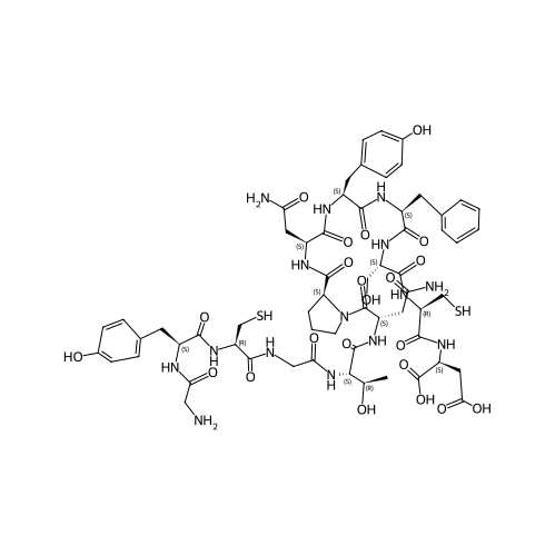 C[C@@H](O)[C@H](NC(=O)CNC(=O)[C@H](CS)NC(=O)[C@H](Cc1ccc(O)cc1)NC(=O)CN)C(=O)N[C@@H](CC(N)=O)C(=O)N1CCC[C@H]1C(=O)N[C@@H](CC(N)=O)C(=O)N[C@@H](Cc1ccc(O)cc1)C(=O)N[C@@H](Cc1ccccc1)C(=O)N[C@@H](CO)C(=O)N[C@@H](CS)C(=O)N[C@@H](CC(=O)O)C(=O)O